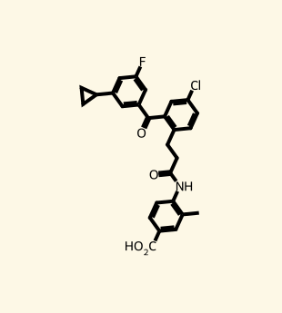 Cc1cc(C(=O)O)ccc1NC(=O)CCc1ccc(Cl)cc1C(=O)c1cc(F)cc(C2CC2)c1